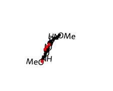 COCCNCCCOc1ccc(-c2nc3ccc(OCCCNCCOC)cc3o2)cc1